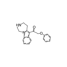 O=C(COc1ccccc1)c1c2n(c3ccccc13)CCNCC2